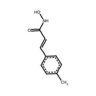 Cc1ccc(C=CC(=O)NO)cc1